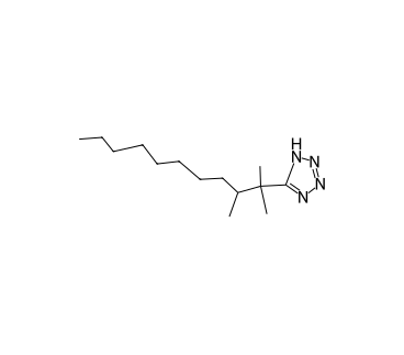 CCCCCCCCC(C)C(C)(C)c1nnn[nH]1